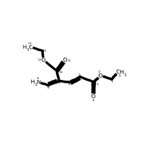 CCOC(=O)C=CC(=CN)C(=O)OCC